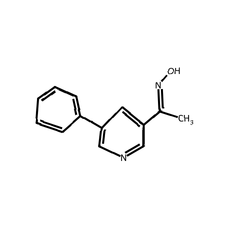 CC(=NO)c1cncc(-c2ccccc2)c1